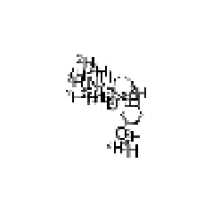 [2H]O[C@@]1(c2cccc(OC([2H])([2H])[2H])c2)C([2H])([2H])CCC[C@@]1([2H])C([2H])([2H])N(C([2H])([2H])[2H])C([2H])([2H])[2H]